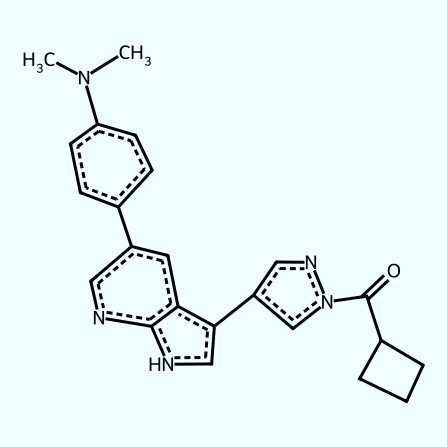 CN(C)c1ccc(-c2cnc3[nH]cc(-c4cnn(C(=O)C5CCC5)c4)c3c2)cc1